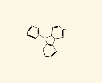 COC1=CC2C3=C(CCC=C3)N(c3ccccc3)C2C=C1